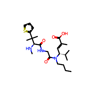 CCCCN(C(=O)CNC(=O)[C@@H](NC)C(C)(C)c1cccs1)[C@H](/C=C(\C)C(=O)O)C(C)C